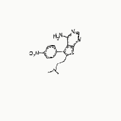 CN(C)CCc1sc2ncnc(N)c2c1-c1ccc([N+](=O)[O-])cc1